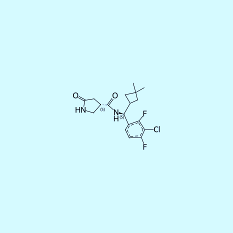 CC1(C)CC([C@H](NC(=O)[C@@H]2CNC(=O)C2)c2ccc(F)c(Cl)c2F)C1